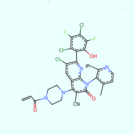 C=CC(=O)N1CCN(c2c(C#N)c(=O)n(-c3c(C)ccnc3C(C)C)c3nc(-c4c(O)c(F)c(Cl)c(F)c4Cl)c(Cl)cc23)CC1